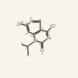 CC(C)n1c(=O)nc(Cl)c2cnc(Cl)cc21